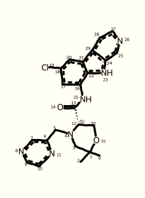 CC1(C)CN(Cc2cnccn2)[C@H](C(=O)Nc2cc(Cl)cc3c2[nH]c2cnccc23)CO1